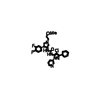 COCCN1C[C@@H](NC(=O)Nc2c(Cl)c(-c3ccccc3)nn2-c2cccnc2)[C@H](c2ccc(F)c(F)c2)C1